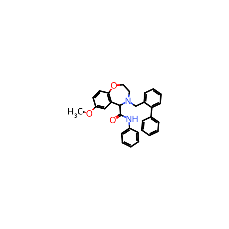 COc1ccc2c(c1)C(C(=O)Nc1ccccc1)N(Cc1ccccc1-c1ccccc1)CCO2